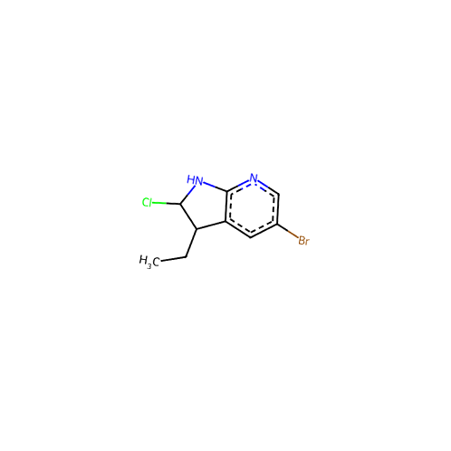 CCC1c2cc(Br)cnc2NC1Cl